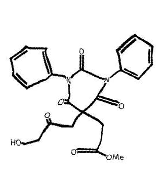 COC(=O)CC1(CC(=O)CO)C(=O)N(c2ccccc2)C(=O)N(c2ccccc2)C1=O